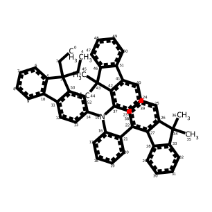 CCC1(CC)c2ccccc2-c2ccc(N(c3ccccc3-c3cccc4c3-c3ccccc3C4(C)C)c3cccc4c3C(C)(C)c3ccccc3-4)cc21